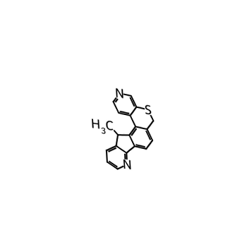 CC1c2cccnc2-c2ccc3c(c21)-c1ccncc1SC3